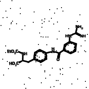 CCOC(=O)N[C@@H](Cc1ccc(NC(=O)c2cccc(NC(=N)N)c2)cc1)C(=O)O